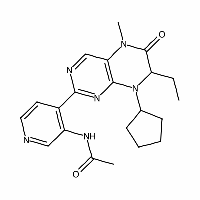 CCC1C(=O)N(C)c2cnc(-c3ccncc3NC(C)=O)nc2N1C1CCCC1